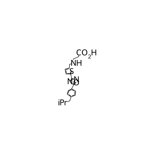 CC(C)Cc1ccc(-c2nc(-c3ccc(CNCCC(=O)O)s3)no2)cc1